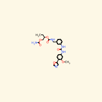 CCC(COC(N)=O)OC(=O)NCc1cccc(NC(=O)Nc2ccc(-c3cnco3)c(OC)c2)c1